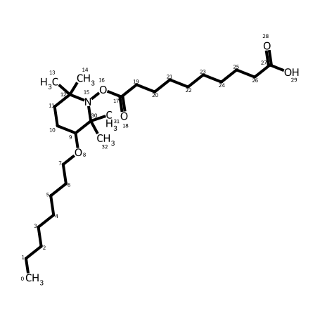 CCCCCCCCOC1CCC(C)(C)N(OC(=O)CCCCCCCCC(=O)O)C1(C)C